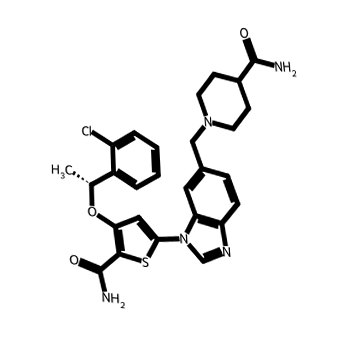 C[C@@H](Oc1cc(-n2cnc3ccc(CN4CCC(C(N)=O)CC4)cc32)sc1C(N)=O)c1ccccc1Cl